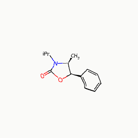 CC(C)N1C(=O)O[C@H](c2ccccc2)[C@@H]1C